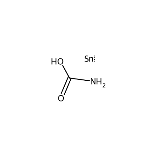 NC(=O)O.[Sn]